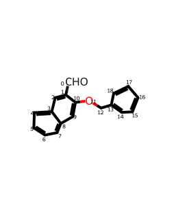 O=Cc1cc2ccccc2cc1OCc1ccccc1